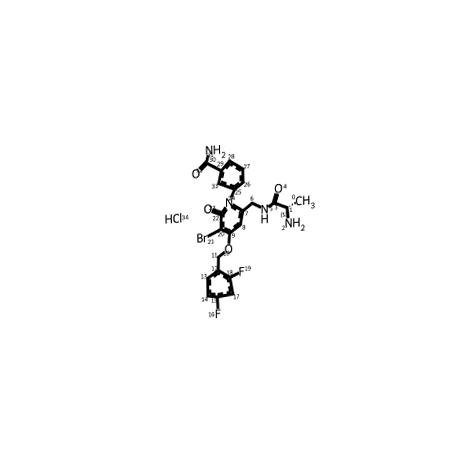 C[C@H](N)C(=O)NCc1cc(OCc2ccc(F)cc2F)c(Br)c(=O)n1-c1cccc(C(N)=O)c1.Cl